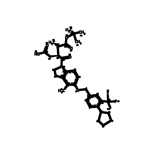 Cc1c(OCc2ccc(C3CCCC3)c(C(F)(F)F)c2)ccc2c1CCN2C(=O)[C@@H](CC(=O)O)N(C)C(=O)OC(C)(C)C